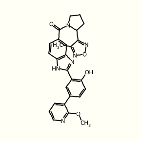 COc1ncccc1-c1ccc(O)c(-c2nc3cc(C(=O)N4CCCC4c4nonc4C)ccc3[nH]2)c1